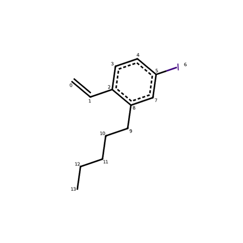 C=Cc1ccc(I)cc1CCCCC